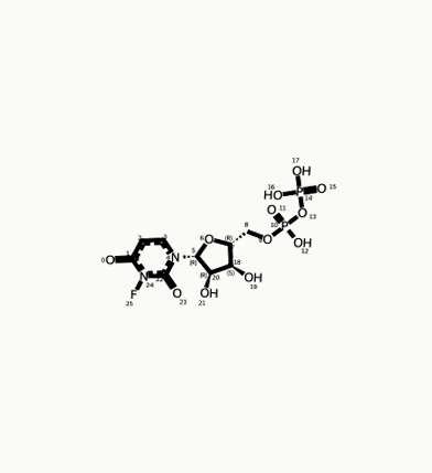 O=c1ccn([C@@H]2O[C@H](COP(=O)(O)OP(=O)(O)O)[C@@H](O)[C@H]2O)c(=O)n1F